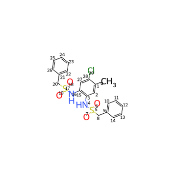 Cc1cc(NS(=O)(=O)Cc2ccccc2)c(NS(=O)(=O)Cc2ccccc2)cc1Cl